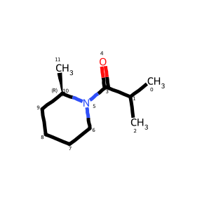 CC(C)C(=O)N1CCCC[C@H]1C